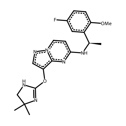 COc1ccc(F)cc1[C@@H](C)Nc1ccn2ncc(OC3=NC(C)(C)CN3)c2n1